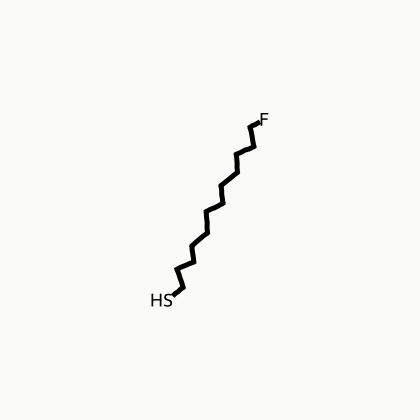 FCCCCCCCCCCCCS